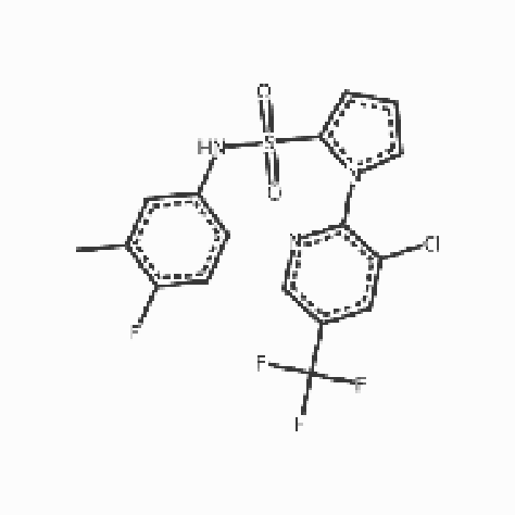 Cc1cc(NS(=O)(=O)c2cccn2-c2ncc(C(F)(F)F)cc2Cl)ccc1F